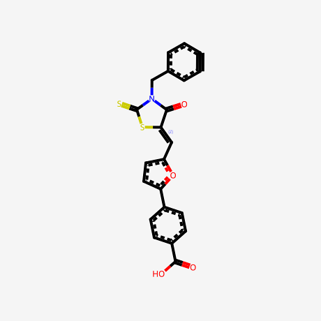 O=C(O)c1ccc(-c2ccc(/C=C3\SC(=S)N(Cc4cc#ccc4)C3=O)o2)cc1